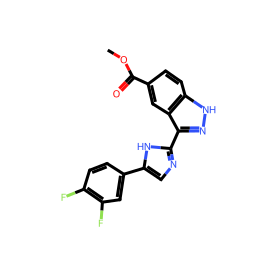 COC(=O)c1ccc2[nH]nc(-c3ncc(-c4ccc(F)c(F)c4)[nH]3)c2c1